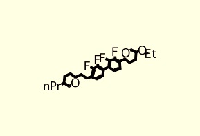 CCCC1CCC(CCc2ccc(-c3ccc(C4CCC(OCC)CO4)c(F)c3F)c(F)c2F)OC1